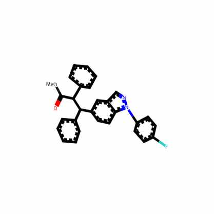 COC(=O)C(c1ccccc1)C(c1ccccc1)c1ccc2c(cnn2-c2ccc(F)cc2)c1